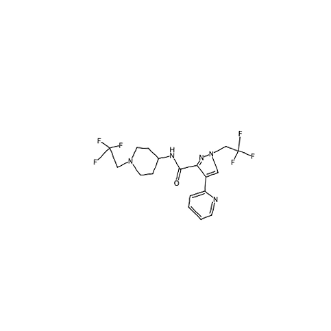 O=C(NC1CCN(CC(F)(F)F)CC1)c1nn(CC(F)(F)F)cc1-c1ccccn1